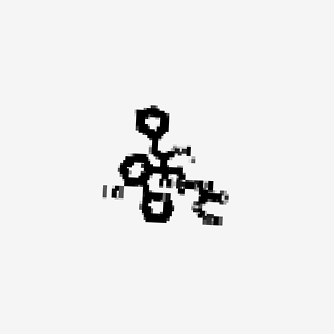 CN(CC(O)(c1ccccc1-c1ccccn1)C(N)Cc1ccccc1)NC(=O)OC(C)(C)C.Cl